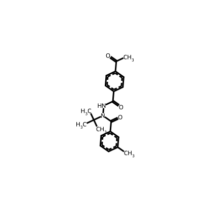 CC(=O)c1ccc(C(=O)NN(C(=O)c2cccc(C)c2)C(C)(C)C)cc1